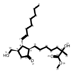 CCCCCCC=C[C@H]1[C@H](CO)CC(=O)[C@@H]1CCCCCC(C)(O)C(=O)OC